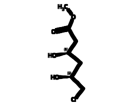 COC(=O)C[C@H](O)C[C@H](O)CCl